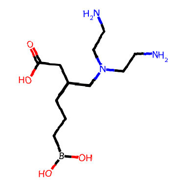 NCCN(CCN)CC(CCCB(O)O)CC(=O)O